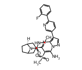 CCNC(=O)N1C2CC[C@H]1C[C@@H](c1nc3c(-c4ccc(-c5ccccc5F)nc4)cnn3c(N)c1S(C)(=O)=O)C2